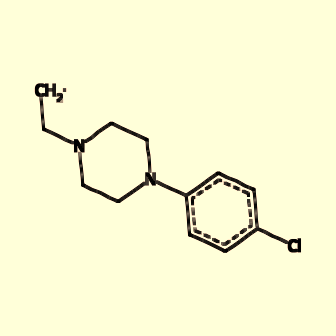 [CH2]CN1CCN(c2ccc(Cl)cc2)CC1